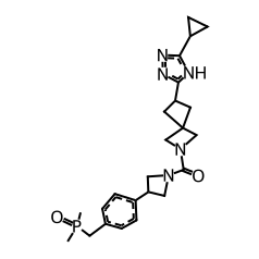 CP(C)(=O)Cc1ccc(C2CN(C(=O)N3CC4(CC(c5nnc(C6CC6)[nH]5)C4)C3)C2)cc1